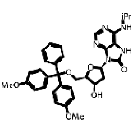 COc1ccc(C(OC[C@H]2O[C@@H](n3c(=O)[nH]c4c(NC(C)C)ncnc43)C[C@H]2O)(c2ccccc2)c2ccc(OC)cc2)cc1